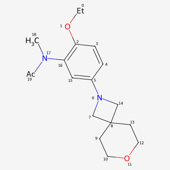 CCOc1ccc(N2CC3(CCOCC3)C2)cc1N(C)C(C)=O